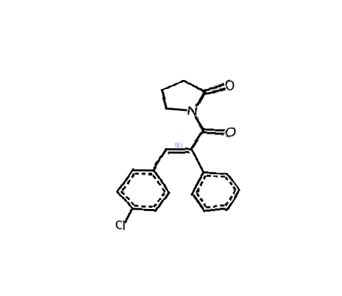 O=C1CCCN1C(=O)/C(=C/c1ccc(Cl)cc1)c1ccccc1